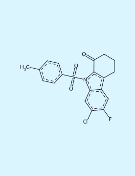 Cc1ccc(S(=O)(=O)n2c3c(c4cc(F)c(Cl)cc42)CCCC3=O)cc1